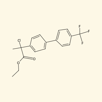 CCOC(=O)C(C)(Cl)c1ccc(-c2ccc(C(F)(F)F)cc2)cc1